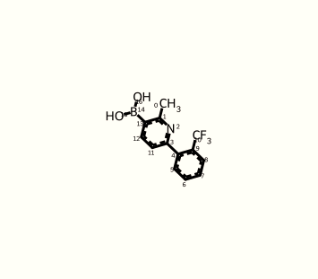 Cc1nc(-c2ccccc2C(F)(F)F)ccc1B(O)O